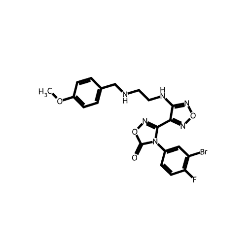 COc1ccc(CNCCNc2nonc2-c2noc(=O)n2-c2ccc(F)c(Br)c2)cc1